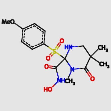 COc1ccc(S(=O)(=O)C2(C(=O)NO)NCC(C)(C)C(=O)N2C)cc1